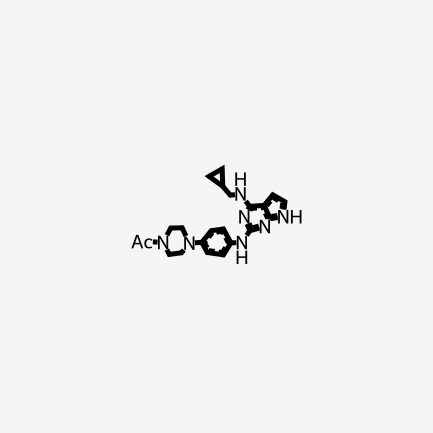 CC(=O)N1CCN(c2ccc(Nc3nc(NCC4CC4)c4cc[nH]c4n3)cc2)CC1